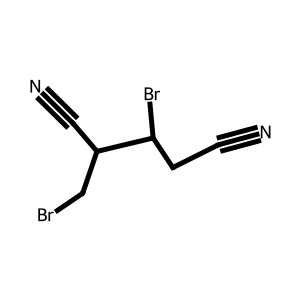 N#CCC(Br)C(C#N)CBr